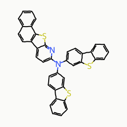 c1ccc2c(c1)ccc1c3ccc(N(c4ccc5c(c4)sc4ccccc45)c4ccc5c(c4)sc4ccccc45)nc3sc21